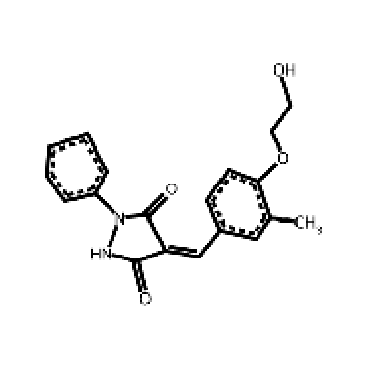 Cc1cc(C=C2C(=O)NN(c3ccccc3)C2=O)ccc1OCCO